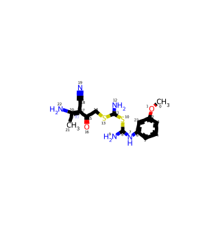 COc1cccc(NC(N)SC(N)SCC(=O)/C(C#N)=C(\C)N)c1